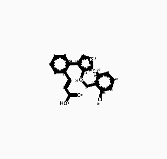 O=C(O)/C=C/c1ccccc1-c1cscc1OCc1c(Cl)cccc1Cl